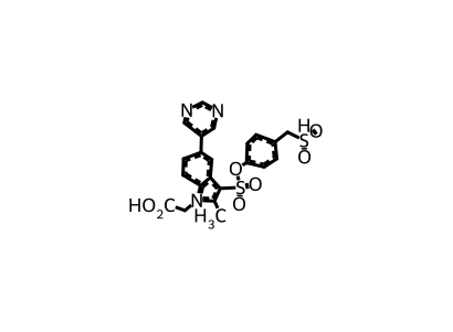 Cc1c(S(=O)(=O)Oc2ccc(C[SH](=O)=O)cc2)c2cc(-c3cncnc3)ccc2n1CC(=O)O